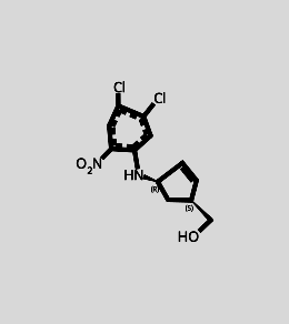 O=[N+]([O-])c1cc(Cl)c(Cl)cc1N[C@H]1C=C[C@@H](CO)C1